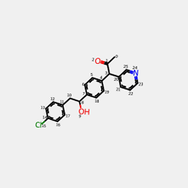 CC(=O)C(c1ccc(C(O)Cc2ccc(Cl)cc2)cc1)c1cccnc1